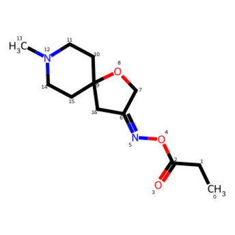 CCC(=O)O/N=C1\COC2(CCN(C)CC2)C1